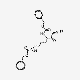 [N-]=[N+]=CC(=O)[C@H](CCCCNC(=O)OCc1ccccc1)NC(=O)OCc1ccccc1